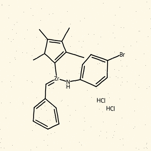 CC1=C(C)C(C)[C]([Zr](=[CH]c2ccccc2)[NH]c2ccc(Br)cc2)=C1C.Cl.Cl